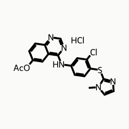 CC(=O)Oc1ccc2ncnc(Nc3ccc(Sc4nccn4C)c(Cl)c3)c2c1.Cl